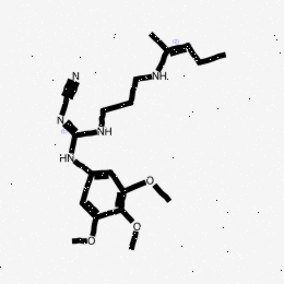 CC/C=C(/C)NCCCN/C(=N\C#N)Nc1cc(OC)c(OC)c(OC)c1